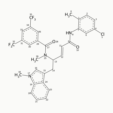 Cc1ccc(Cl)cc1NC(=O)C=CC(Cc1cn(C)c2ccccc12)N(C)C(=O)c1cc(C(F)(F)F)cc(C(F)(F)F)c1